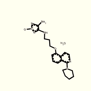 Nc1n[s+]([O-])nc1NCCCOc1cccc2c(N3CCCCC3)nccc12.O